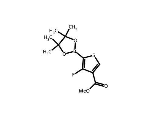 COC(=O)c1csc(B2OC(C)(C)C(C)(C)O2)c1F